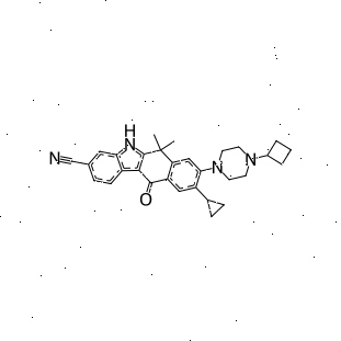 CC1(C)c2cc(N3CCN(C4CCC4)CC3)c(C3CC3)cc2C(=O)c2c1[nH]c1cc(C#N)ccc21